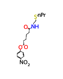 [CH2]CCSCCNC(=O)CCCCC(=O)Oc1ccc([N+](=O)[O-])cc1